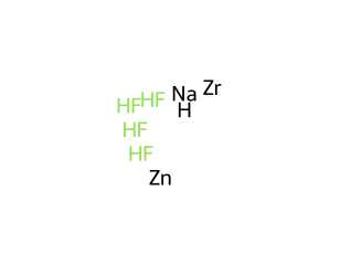 F.F.F.F.[NaH].[Zn].[Zr]